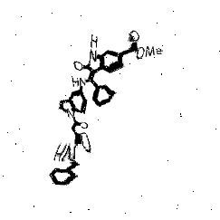 COC(=O)c1ccc2c(c1)NC(=O)/C2=C(\Nc1ccc2c(c1)CCN2C(=O)CC(=O)NCc1ccccc1)c1ccccc1